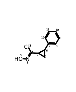 O/N=C(\Cl)C1CC1c1ccccc1